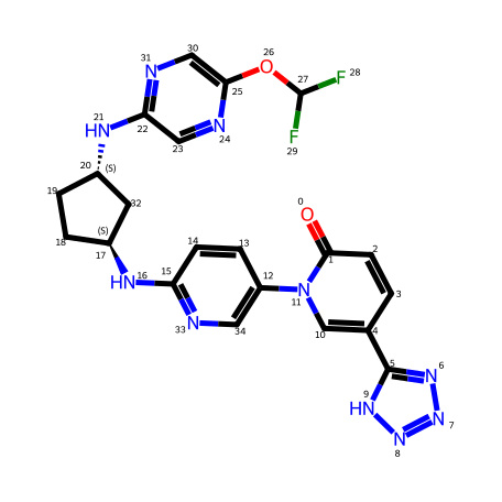 O=c1ccc(-c2nnn[nH]2)cn1-c1ccc(N[C@H]2CC[C@H](Nc3cnc(OC(F)F)cn3)C2)nc1